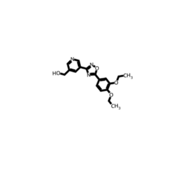 CCOc1ccc(-c2nc(-c3cncc(CO)c3)no2)cc1OCC